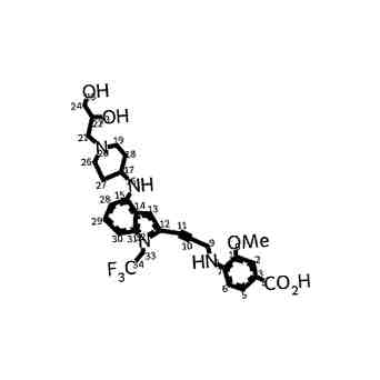 COc1cc(C(=O)O)ccc1NCC#Cc1cc2c(NC3CCN(CC(O)CO)CC3)cccc2n1CC(F)(F)F